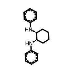 [c]1ccccc1N[C@@H]1CCCC[C@@H]1Nc1ccccc1